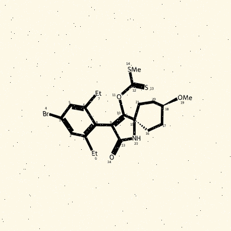 CCc1cc(Br)cc(CC)c1C1=C(OC(=S)SC)[C@]2(CC[C@H](OC)CC2)NC1=O